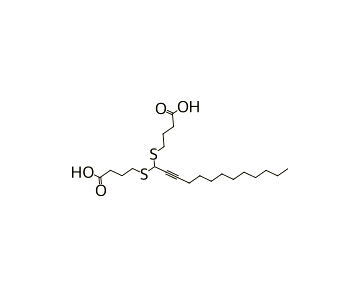 CCCCCCCCCCC#CC(SCCCC(=O)O)SCCCC(=O)O